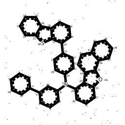 c1ccc(-c2cccc(N(c3ccc(-c4cccc5c4sc4ccccc45)cc3)c3cccc4oc5c6ccccc6ccc5c34)c2)cc1